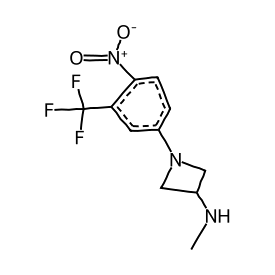 CNC1CN(c2ccc([N+](=O)[O-])c(C(F)(F)F)c2)C1